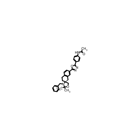 CC(=O)Nc1ccc(-c2nnc(-c3ccc4c(c3)C[C@@]3(CC4)COC(C)(C)N3Cc3ccccc3)o2)cc1